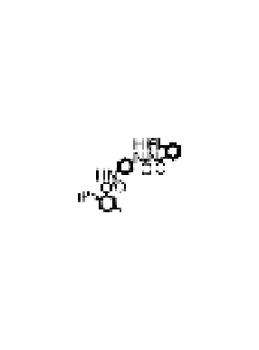 CC1CCC(C(C)C)C(OC(=O)Nc2ccc(NC(=O)NC(=O)c3ccccc3Cl)cc2)C1